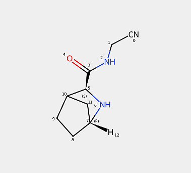 N#CCNC(=O)[C@H]1N[C@@H]2CCC1C2